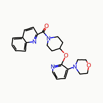 O=C(c1ccc2ccccc2n1)N1CCC(Oc2ncccc2N2CCOCC2)CC1